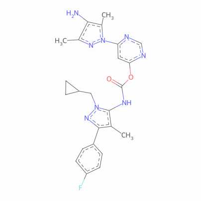 Cc1nn(-c2cc(OC(=O)Nc3c(C)c(-c4ccc(F)cc4)nn3CC3CC3)ncn2)c(C)c1N